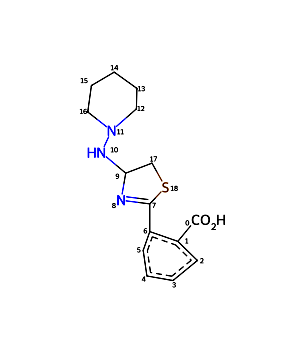 O=C(O)c1ccccc1C1=NC(NN2CCCCC2)CS1